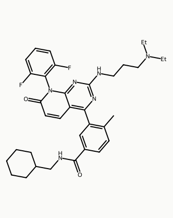 CCN(CC)CCCNc1nc(-c2cc(C(=O)NCC3CCCCC3)ccc2C)c2ccc(=O)n(-c3c(F)cccc3F)c2n1